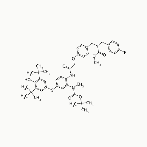 COC(=O)C(Cc1ccc(F)cc1)Cc1ccc(OCC(=O)Nc2ccc(Sc3cc(C(C)(C)C)c(O)c(C(C)(C)C)c3)cc2N(C)C(=O)OC(C)(C)C)cc1